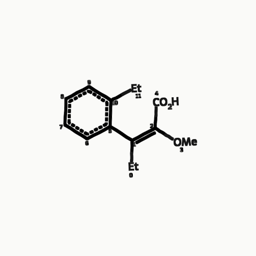 CCC(=C(OC)C(=O)O)c1ccccc1CC